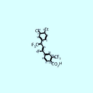 CCc1ccc(C(C=C(F)c2ccc(C(=O)O)c(C(F)(F)F)c2)C(F)(F)F)cc1Cl